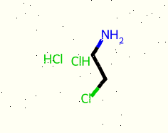 Cl.Cl.NCCCl